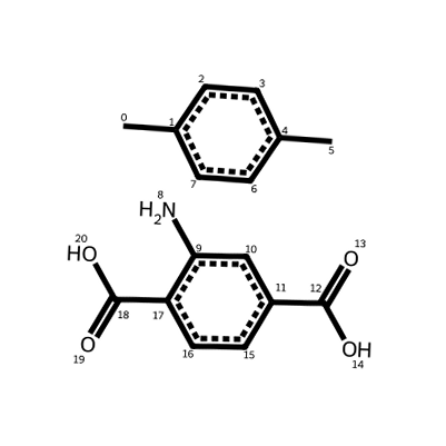 Cc1ccc(C)cc1.Nc1cc(C(=O)O)ccc1C(=O)O